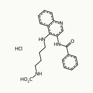 Cl.O=C(O)NCCCCNc1c(NC(=O)c2ccccc2)cnc2ccccc12